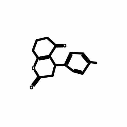 Cc1ccc(C2CC(=O)OC3=C2C(=O)CCC3)cc1